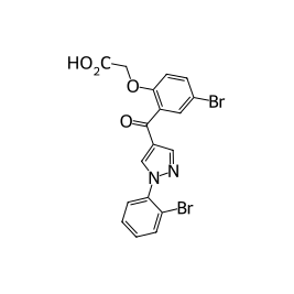 O=C(O)COc1ccc(Br)cc1C(=O)c1cnn(-c2ccccc2Br)c1